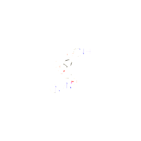 CN(CCN1CCCCC1)C(=O)[C@H]1CC[C@@]2(CC1)OC(=O)c1cc(OC3CCNCC3)ccc12